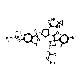 C[C@H](Oc1ccc(S(=O)(=O)[C@@H]2C[C@@H](C(=O)NC3(C#N)CC3)N(C(=O)C3(c4ncc(Br)cc4F)CN(OC(=O)OC(C)(C)C)C3)C2)c(Cl)c1)C(F)(F)F